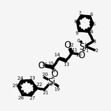 C[Si](C)(Cc1ccccc1)OC(=O)/C=C/C(=O)O[Si](C)(C)Cc1ccccc1